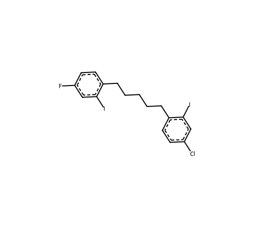 Fc1ccc(CCCCCc2ccc(Cl)cc2I)c(I)c1